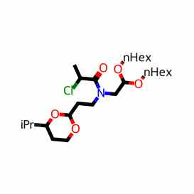 CCCCCCOC(CN(CCC1OCCC(C(C)C)O1)C(=O)C(C)Cl)OCCCCCC